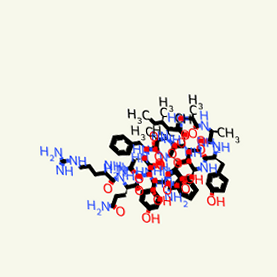 CC[C@H](C)[C@H](NC(=O)[C@H](Cc1c[nH]c2ccccc12)NC(=O)[C@H](Cc1ccccc1)NC(=O)[C@H](Cc1ccc(O)cc1)NC(=O)[C@H](CCC(N)=O)NC(=O)[C@@H](N)CCCNC(=N)N)C(=O)N[C@@H](C)C(=O)N[C@@H](C)C(=O)N[C@@H](Cc1ccc(O)cc1)C(=O)N[C@@H](CCCCN)C(=O)N[C@@H](CC(C)C)C(=O)N[C@@H](C)C(=O)N[C@@H](CC(N)=O)C(=O)N[C@@H](CO)C(=O)N[C@@H](CCCCN)C(=O)O